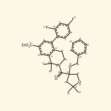 CCOC(=O)c1cc(-c2ccc(F)cc2F)c2c(n1)C(C)(C)N(C(=O)C1(OCc3ccccc3)COC(C)(C)C1)CC2